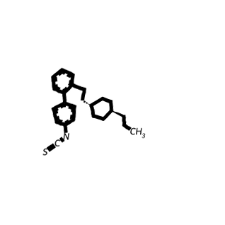 CCC[C@H]1CC[C@H](CCc2ccccc2-c2ccc(N=C=S)cc2)CC1